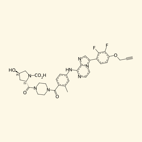 C#CCOc1ccc(-c2cnc3c(Nc4ccc(C(=O)N5CCN(C(=O)[C@@H]6C[C@@H](O)CN6C(=O)O)CC5)c(C)c4)nccn23)c(F)c1F